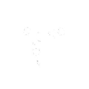 Cc1c(F)c(NC(=O)C(O)(Cc2ccccc2)C2CCN(S(=O)(=O)c3cccc(Cl)c3)CC2)c(F)c(F)c1C#N